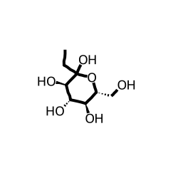 CCC1(O)O[C@H](CO)[C@@H](O)[C@H](O)[C@H]1O